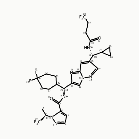 C[C@@H](n1nccc1C(=O)N[C@H](c1cn2ncc([C@H](NC(=O)CCC(F)(F)F)C3CC3)cc2n1)C1CCC(F)(F)CC1)C(F)(F)F